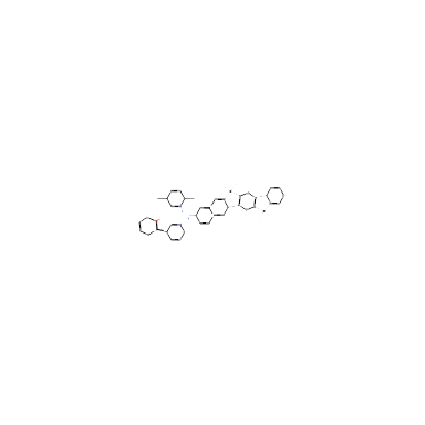 Cc1ccc(C)c(N(c2ccc3cc4c(cc3c2)C(C)(C)c2cc3c(cc2-4)C(C)(C)c2ccccc2-3)c2cccc3c2oc2ccccc23)c1